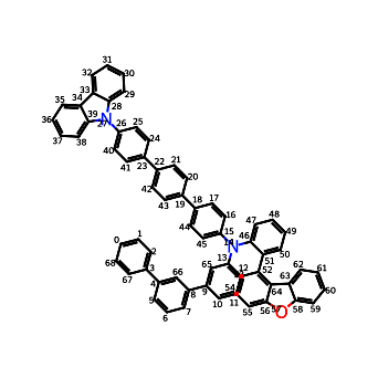 c1ccc(-c2cccc(-c3cccc(N(c4ccc(-c5ccc(-c6ccc(-n7c8ccccc8c8ccccc87)cc6)cc5)cc4)c4ccccc4-c4cccc5oc6ccccc6c45)c3)c2)cc1